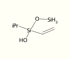 C=C[Si](O)(O[SiH3])C(C)C